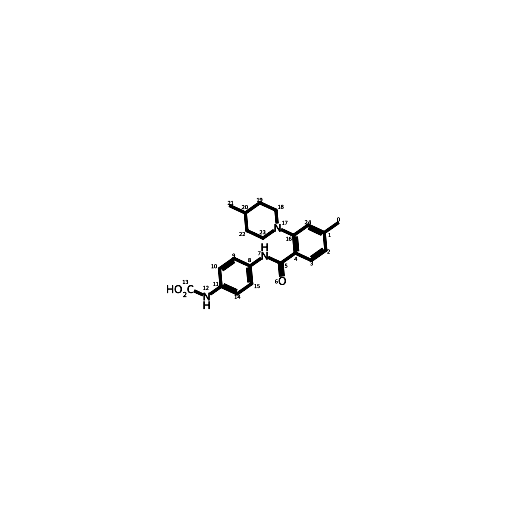 Cc1ccc(C(=O)Nc2ccc(NC(=O)O)cc2)c(N2CCC(C)CC2)c1